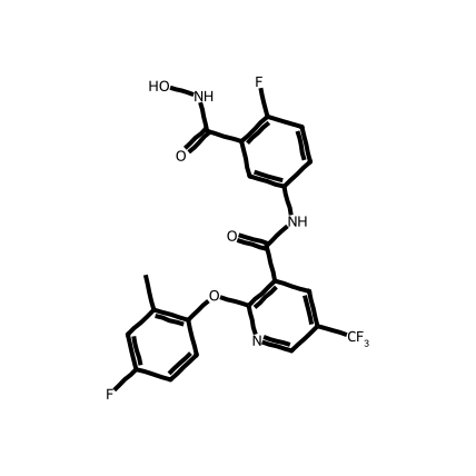 Cc1cc(F)ccc1Oc1ncc(C(F)(F)F)cc1C(=O)Nc1ccc(F)c(C(=O)NO)c1